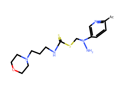 CC(=O)c1ccc(N(N)CSC(=S)NCCCN2CCOCC2)cn1